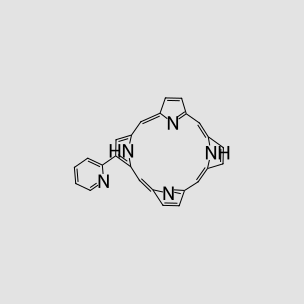 C1=Cc2cc3cc(-c4ccccn4)c(cc4nc(cc5ccc(cc1n2)[nH]5)C=C4)[nH]3